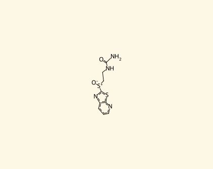 NC(=O)NCC[S+]([O-])c1nc2cccnc2s1